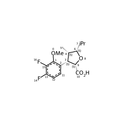 COc1c([C@@H]2[C@H](C)[C@H](C(C)C)O[C@@H]2C(=O)O)ccc(F)c1F